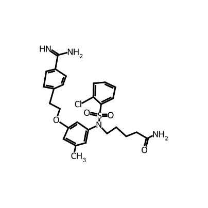 Cc1cc(OCCc2ccc(C(=N)N)cc2)cc(N(CCCCC(N)=O)S(=O)(=O)c2ccccc2Cl)c1